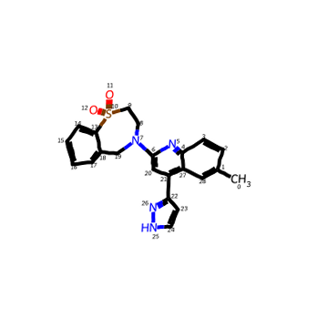 Cc1ccc2nc(N3CCS(=O)(=O)c4ccccc4C3)cc(-c3cc[nH]n3)c2c1